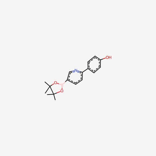 CC1(C)OB(c2ccc(-c3ccc(O)cc3)nc2)OC1(C)C